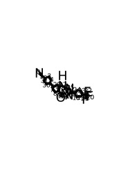 N#Cc1ccc(-c2ccc3c(=O)n4nc(-c5ccc(C(F)(F)F)cc5)nc4[nH]c3c2)cc1